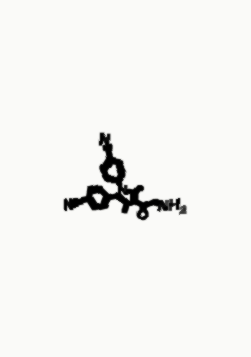 Cc1c(C(=O)CN)c(C)n(-c2ccc(C#N)cc2)c1-c1ccc(C#N)cc1